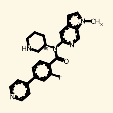 Cn1ccc2cc(N(C(=O)c3ccc(-c4ccncc4)cc3F)[C@@H]3CCCNC3)ncc21